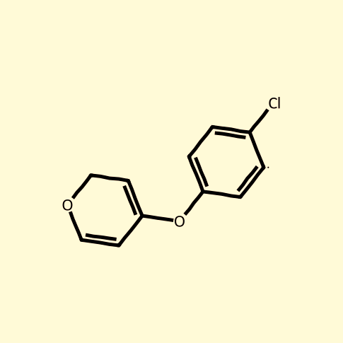 Clc1[c]cc(OC2=CCOC=C2)cc1